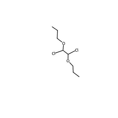 CCCOC(Cl)C(Cl)OCCC